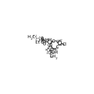 C=CCC[C@@H](CC)S(=O)(=O)NC(=O)c1ccc2c(c1)N(C[C@@H]1CC[C@@]1(C)[C@@H](O)C=C)CCCCc1cc(Cl)ccc1CO2